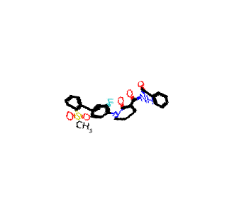 CS(=O)(=O)c1ccccc1-c1ccc(N2CCCC(C(=O)NC(=O)c3ccccc3)C2=O)c(F)c1